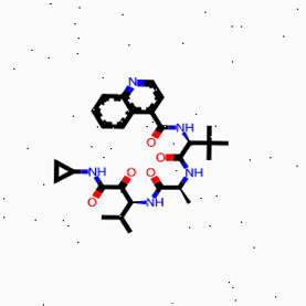 CC(C)[C@H](NC(=O)[C@H](C)NC(=O)[C@@H](NC(=O)c1ccnc2ccccc12)C(C)(C)C)C(=O)C(=O)NC1CC1